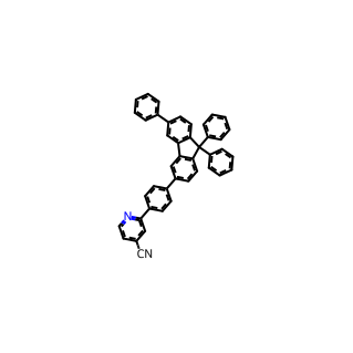 N#Cc1ccnc(-c2ccc(-c3ccc4c(c3)-c3cc(-c5ccccc5)ccc3C4(c3ccccc3)c3ccccc3)cc2)c1